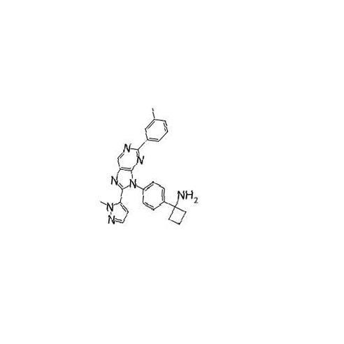 Cc1cccc(-c2ncc3nc(-c4ccnn4C)n(-c4ccc(C5(N)CCC5)cc4)c3n2)c1